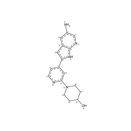 Nc1cnc2[nH]c(-c3ccnc(N4CCC(O)CC4)c3)cc2c1